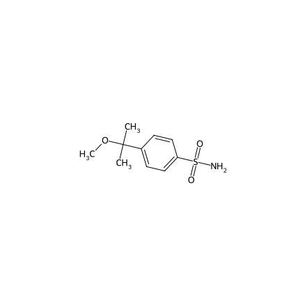 COC(C)(C)c1ccc(S(N)(=O)=O)cc1